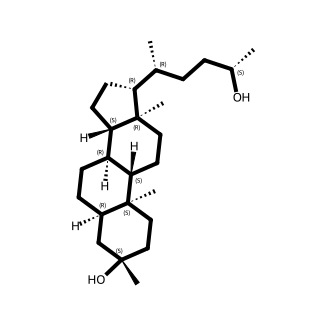 C[C@H](O)CC[C@@H](C)[C@H]1CC[C@H]2[C@@H]3CC[C@@H]4C[C@@](C)(O)CC[C@]4(C)[C@H]3CC[C@]12C